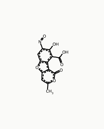 Cc1cc2oc3cc(N=O)c(O)c(C(=O)O)c3c2c(=O)o1